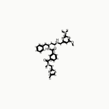 COc1cc(CNCC[C@H](Cc2ccccc2)NC(=O)c2cccc(C(=O)N(C)Cc3nc(C)cs3)c2)nc(N(C)C)n1